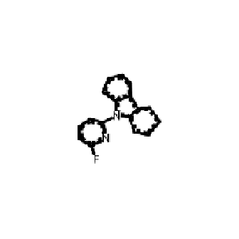 Fc1cccc(-n2c3ccccc3c3ccccc32)n1